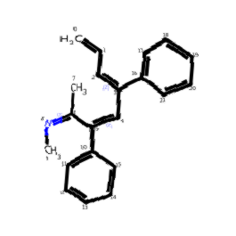 C=C/C=C(/C=C(\C(C)=N/C)c1ccccc1)c1ccccc1